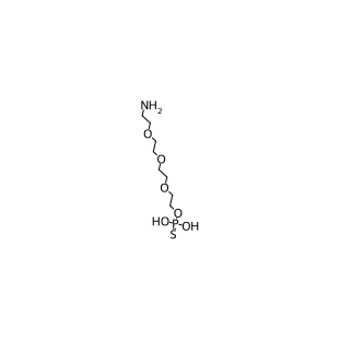 NCCOCCOCCOCCOP(O)(O)=S